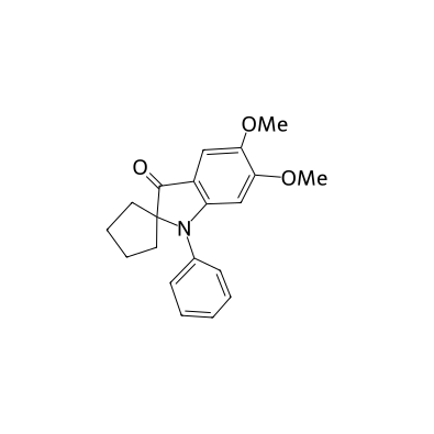 COc1cc2c(cc1OC)N(c1ccccc1)C1(CCCC1)C2=O